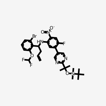 C=CCC(Nc1cc(-c2cnc(C(C)(C)O[Si](C)(C)C(C)(C)C)nc2)c(F)cc1[N+](=O)[O-])c1c(Br)cccc1OC(F)F